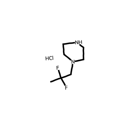 CC(F)(F)CN1CCNCC1.Cl